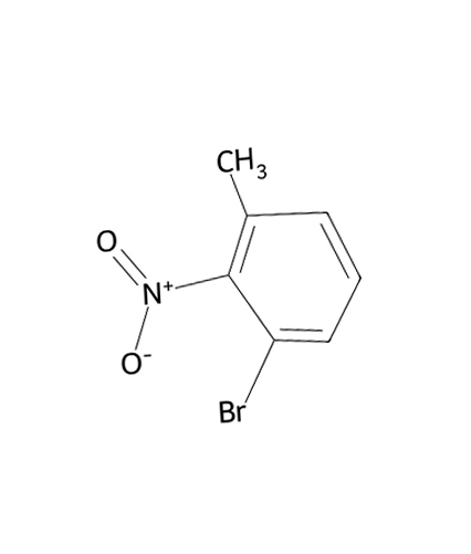 Cc1cccc(Br)c1[N+](=O)[O-]